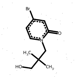 CC(C)(CO)Cn1ccc(Br)cc1=O